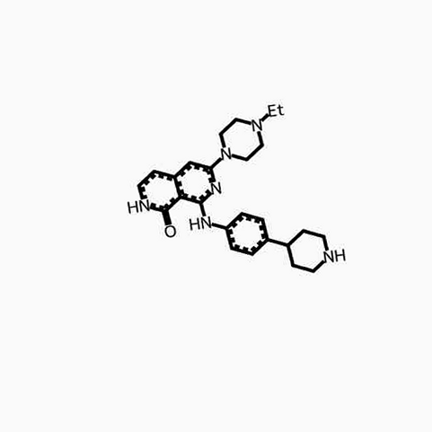 CCN1CCN(c2cc3cc[nH]c(=O)c3c(Nc3ccc(C4CCNCC4)cc3)n2)CC1